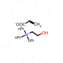 C=CC(=O)[O-].CCC[N+](CCC)(CCC)CCO